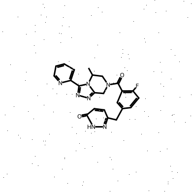 CC1CN(C(=O)c2cc(Cc3ccc(=O)[nH]n3)ccc2F)Cc2nnc(-c3ccccn3)n21